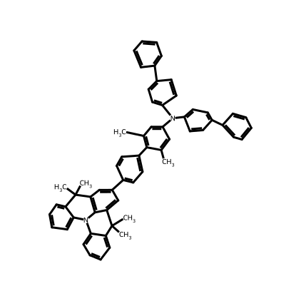 Cc1cc(N(c2ccc(-c3ccccc3)cc2)c2ccc(-c3ccccc3)cc2)cc(C)c1-c1ccc(-c2cc3c4c(c2)C(C)(C)c2ccccc2N4c2ccccc2C3(C)C)cc1